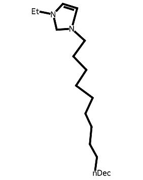 CCCCCCCCCCCCCCCCCCCN1C=CN(CC)C1